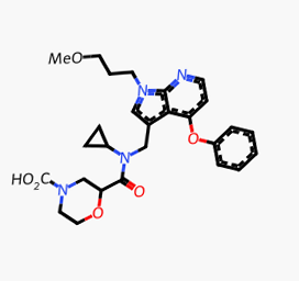 COCCCn1cc(CN(C(=O)C2CN(C(=O)O)CCO2)C2CC2)c2c(Oc3ccccc3)ccnc21